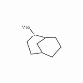 CSN1CCC2CCCC1C2